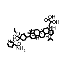 C=C(C)[C@@H]1CC[C@]2(NCC(O)C(=O)O)CC[C@]3(C)[C@H](CC[C@@H]4[C@@]5(C)CC=C(C6=CCC(COc7ncccc7C(N)=O)(C(=O)OCC)CC6)C(C)(C)[C@@H]5CC[C@]43C)[C@@H]12